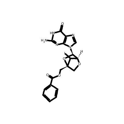 Nc1nc2c(ncn2[C@@H]2O[C@@]3(COC(=O)c4ccccc4)CO[C@H]2C3I)c(=O)[nH]1